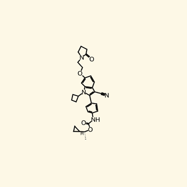 C[C@@H](OC(=O)Nc1ccc(-c2c(C#N)c3ccc(OCCN4CCCC4=O)cc3n2C2CCC2)cc1)C1CC1